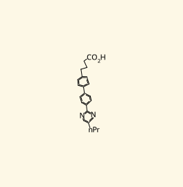 CCCc1cnc(-c2ccc(-c3ccc(CCCC(=O)O)cc3)cc2)nc1